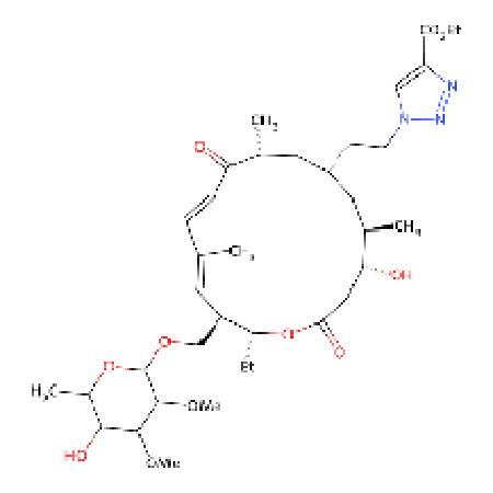 CCOC(=O)c1cn(CC[C@H]2C[C@@H](C)C(=O)/C=C/C(C)=C/[C@H](COC3OC(C)C(O)C(OC)C3OC)[C@@H](CC)OC(=O)C[C@@H](O)[C@H](C)C2)nn1